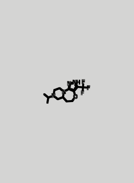 CC(C)N1CCN2c3n[nH]c(C(F)(F)F)c3OCCC2C1